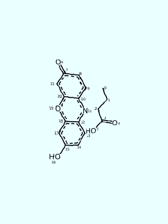 CCCC(=O)O.O=c1ccc2nc3ccc(O)cc3oc-2c1